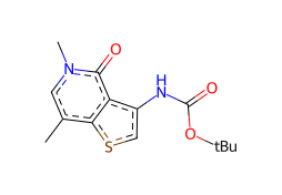 Cc1cn(C)c(=O)c2c(NC(=O)OC(C)(C)C)csc12